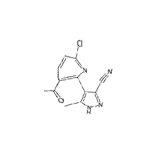 CC(=O)c1ccc(Cl)nc1-c1c(C#N)n[nH]c1C